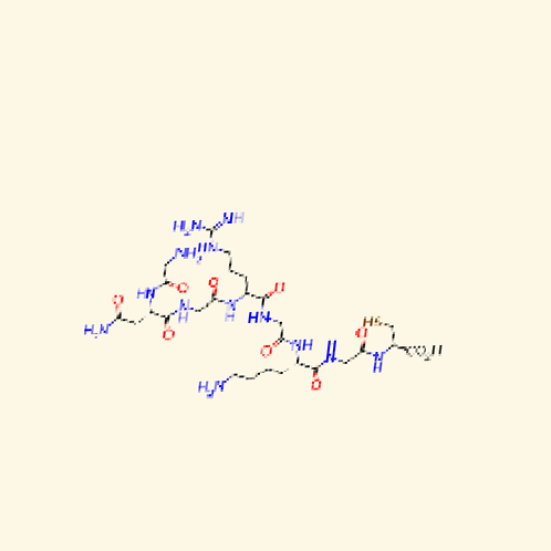 N=C(N)NCCC[C@H](NC(=O)CNC(=O)[C@H](CC(N)=O)NC(=O)CN)C(=O)NCC(=O)N[C@@H](CCCCN)C(=O)NCC(=O)N[C@@H](CS)C(=O)O